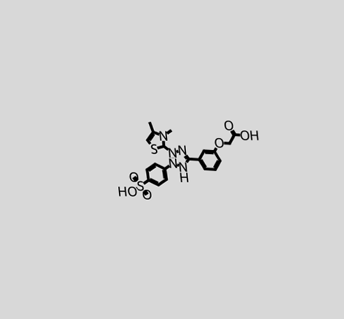 CC1=CSC(N2N=C(c3cccc(OCC(=O)O)c3)NN2c2ccc(S(=O)(=O)O)cc2)N1C